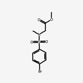 COC(=O)CN(C)S(=O)(=O)c1ccc(Br)cc1